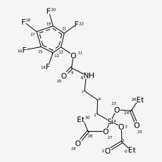 CCC(=O)O[Si](CCCNC(=O)Oc1c(F)c(F)c(F)c(F)c1F)(OC(=O)CC)OC(=O)CC